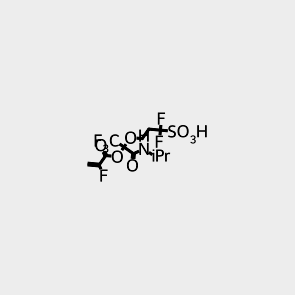 C=C(F)C(=O)OC(OCCC(F)(F)S(=O)(=O)O)(C(=O)NC(C)C)C(F)(F)F